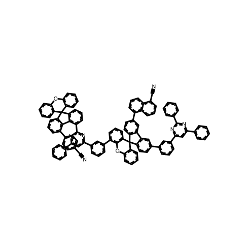 N#Cc1ccc(-c2cccc3c2-c2c(-c4nc(-c5ccccc5)cc(-c5cccc(-c6cccc7c6Oc6ccccc6C76c7ccc(-c8cccc(-c9cc(-c%10ccccc%10)nc(-c%10ccccc%10)n9)c8)cc7-c7cc(-c8cccc9c(C#N)cccc89)ccc76)c5)n4)cccc2C32c3ccccc3Oc3ccccc32)cc1